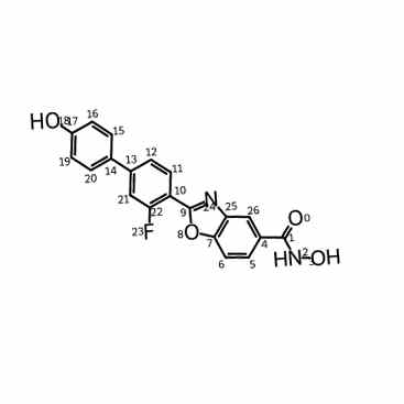 O=C(NO)c1ccc2oc(-c3ccc(-c4ccc(O)cc4)cc3F)nc2c1